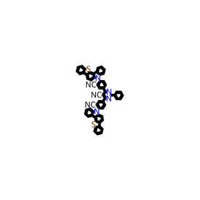 N#Cc1cc(-c2nc(-c3ccccc3)nc(-c3ccc(-n4c5ccccc5c5c6sc7ccccc7c6ccc54)c(C#N)c3)c2C#N)ccc1-n1c2ccccc2c2c3sc4ccccc4c3ccc21